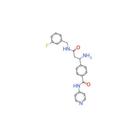 NC(CC(=O)NCc1cccc(F)c1)c1ccc(C(=O)Nc2ccncc2)cc1